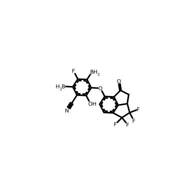 Bc1c(F)c(B)c(Oc2ccc3c4c2C(=O)CC4C(F)(F)C3(F)F)c(O)c1C#N